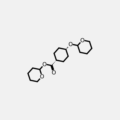 O=C(OC1CCCCO1)[C@H]1CC[C@@H](OC2CCCCO2)CC1